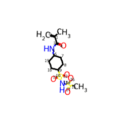 C=C(C)C(=O)NC1CCC(S(=O)(=O)NS(C)(=O)=O)CC1